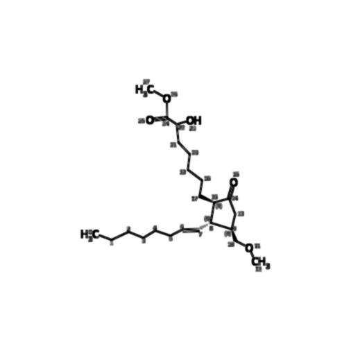 CCCCCCC=C[C@H]1[C@H](COC)CC(=O)[C@@H]1CCCCCC(O)C(=O)OC